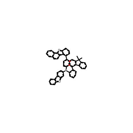 CC1(C)c2ccccc2-c2c(-c3ccccc3N(c3ccc(-c4cccc5oc6c7ccccc7ccc6c45)cc3)c3ccc4c(c3)oc3ccccc34)cccc21